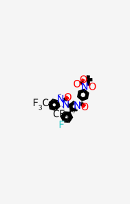 CN(C(=O)N(C)[C@@H]1CN(C(=O)[C@H]2CC[C@H](N3C(=O)OC(C)(C)C3=O)CC2)C[C@H]1c1ccc(F)cc1)c1cc(C(F)(F)F)cc(C(F)(F)F)c1